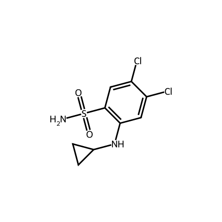 NS(=O)(=O)c1cc(Cl)c(Cl)cc1NC1CC1